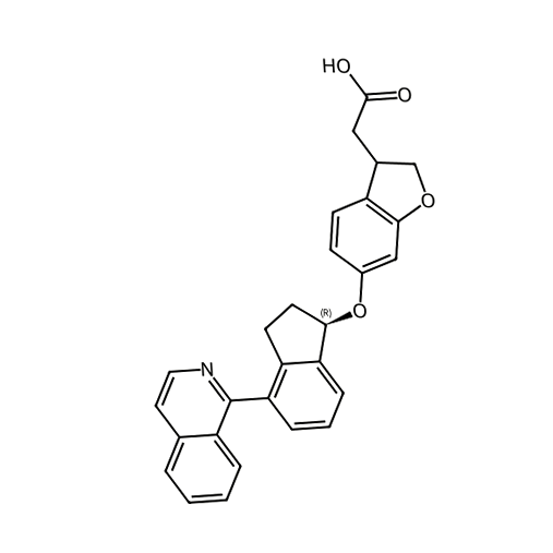 O=C(O)CC1COc2cc(O[C@@H]3CCc4c(-c5nccc6ccccc56)cccc43)ccc21